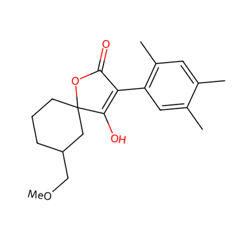 COCC1CCCC2(C1)OC(=O)C(c1cc(C)c(C)cc1C)=C2O